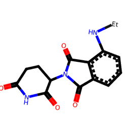 [CH2]CNc1cccc2c1C(=O)N(C1CCC(=O)NC1=O)C2=O